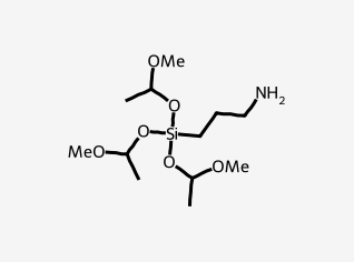 COC(C)O[Si](CCCN)(OC(C)OC)OC(C)OC